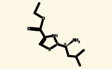 CCOC(=O)C1=CSN([C@H](N)CC(C)C)N1